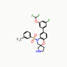 O=S(=O)(c1cccc(C(F)(F)F)c1)N1CC2(CCNC2)Oc2ccc(-c3cc(F)cc(OC(F)F)c3)cc21